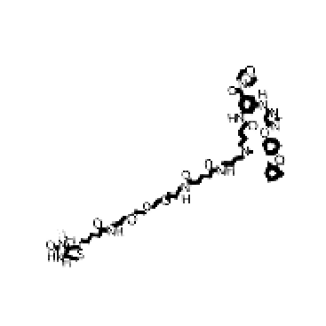 CN(C/C=C/C(=O)Nc1cc(Nc2cc(Oc3ccc(Oc4ccccc4)cc3)ncn2)cc(C(=O)N2CCOCC2)c1)CCCCNC(=O)CCCC(=O)NCCCOCCOCCOCCCNC(=O)CCCC[C@@H]1SC[C@@H]2NC(=O)N[C@@H]21